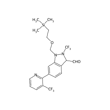 C[Si](C)(C)CCOCN1c2cc(-c3ncccc3C(F)(F)F)ccc2C(C=O)N1C(F)(F)F